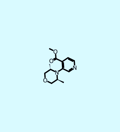 COC(=O)c1ccncc1N1[C@@H](C)COC[C@@H]1C